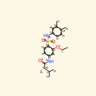 CCOc1cc(NC(=O)[C@@H](C)C(C)C)ccc1S(=O)(=O)Nc1ccc(C)c(C)c1